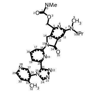 CNC(=O)OCc1nc(N(C)C(C)C)cc2c1CN(c1cccc(-c3nncn3-c3cnccc3C)n1)C2=O